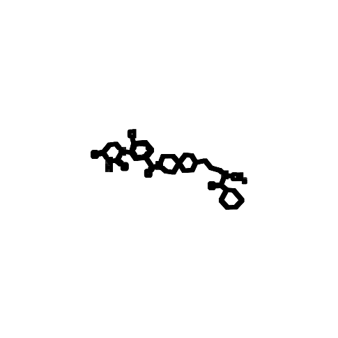 CN(CCCC1CCC2(CC1)CCN(C(=O)c1ccc(Cl)c(N3CCC(=O)NC3=O)c1)CC2)C(=O)C1CCCCC1